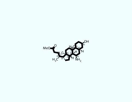 COC(=O)CC[C@@H](C)[C@H]1CC[C@H]2[C@@H]3[C@H](N)C[C@@H]4C[C@H](O)CC[C@]4(C)[C@H]3CC[C@]12C